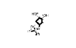 CC(C)[Si](OC1C[C@@H](O)[C@@H](O)C1)(C(C)C)C(C)C